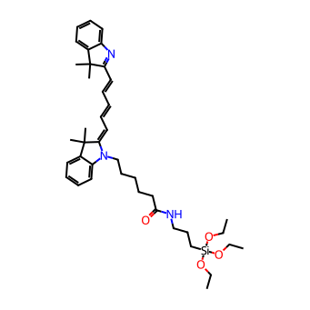 CCO[Si](CCCNC(=O)CCCCCN1/C(=C/C=C/C=C/C2=Nc3ccccc3C2(C)C)C(C)(C)c2ccccc21)(OCC)OCC